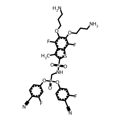 Cc1c(S(=O)(=O)NCP(=O)(Oc2ccc(C#N)c(F)c2)Oc2ccc(C#N)c(F)c2)sc2c(F)c(OCCCN)c(OCCCN)c(F)c12